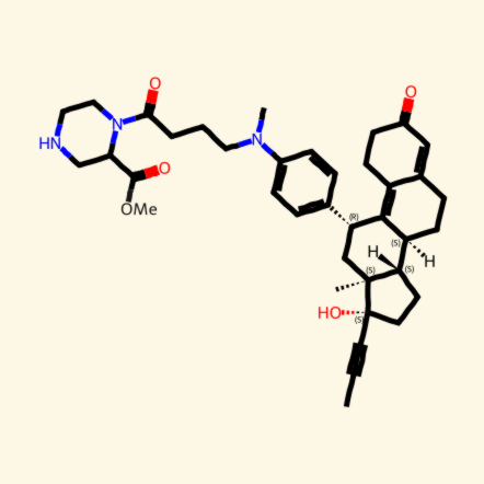 CC#C[C@]1(O)CC[C@H]2[C@@H]3CCC4=CC(=O)CCC4=C3[C@@H](c3ccc(N(C)CCCC(=O)N4CCNCC4C(=O)OC)cc3)C[C@@]21C